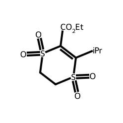 CCOC(=O)C1=C(C(C)C)S(=O)(=O)CCS1(=O)=O